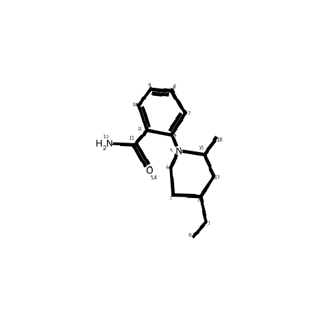 CCC1CCN(c2ccccc2C(N)=O)C(C)C1